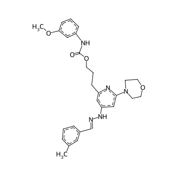 COc1cccc(NC(=O)OCCCc2cc(NN=Cc3cccc(C)c3)cc(N3CCOCC3)n2)c1